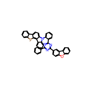 c1ccc(-c2nc(-c3ccc4oc5ccccc5c4c3)nc(-c3ccccc3-n3c4ccccc4c4c5sc6ccccc6c5ccc43)n2)cc1